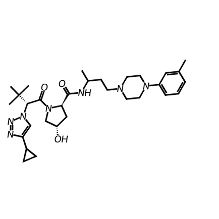 Cc1cccc(N2CCN(CCC(C)NC(=O)[C@H]3C[C@H](O)CN3C(=O)[C@H](n3cc(C4CC4)nn3)C(C)(C)C)CC2)c1